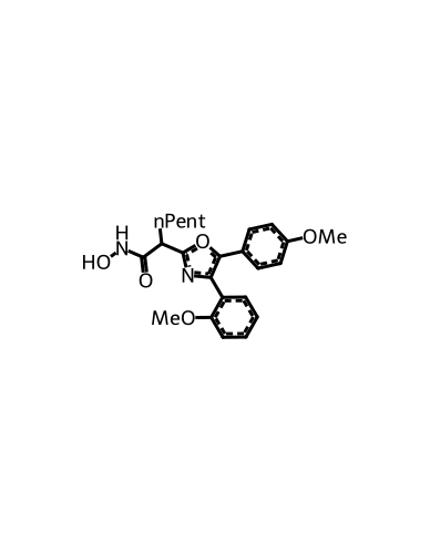 CCCCCC(C(=O)NO)c1nc(-c2ccccc2OC)c(-c2ccc(OC)cc2)o1